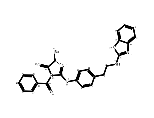 CC[C@H](C)[C@@H]1N=C(Nc2ccc(CCNc3nc4ccccc4s3)cc2)N(C(=O)c2ccccc2)C1=O